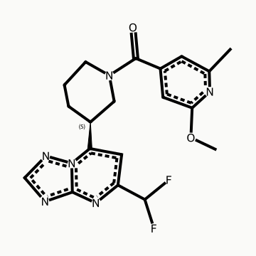 COc1cc(C(=O)N2CCC[C@H](c3cc(C(F)F)nc4ncnn34)C2)cc(C)n1